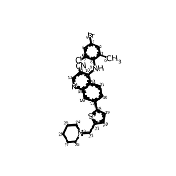 Cc1cc(Br)cc(Cl)c1Nc1c(C#N)cnc2cc(-c3ccc(CN4CCCCC4)s3)ccc12